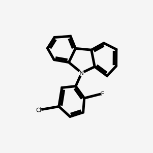 Fc1ccc(Cl)cc1-n1c2ccccc2c2ccccc21